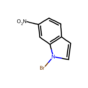 O=[N+]([O-])c1ccc2ccn(Br)c2c1